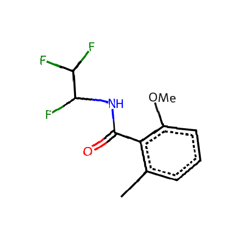 COc1cccc(C)c1C(=O)NC(F)C(F)F